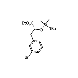 CCOC(=O)[C@@H](Cc1cccc(Br)c1)O[Si](C)(C)C(C)(C)C